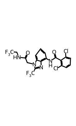 O=C(Cn1c(C(F)(F)F)nc2c(NC(=O)c3c(Cl)cccc3Cl)cccc21)NCC(F)(F)F